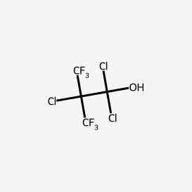 OC(Cl)(Cl)C(Cl)(C(F)(F)F)C(F)(F)F